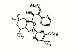 CN/C=C(\C(=N)C(=O)N1CC(F)(F)CC(C)C1CNc1ncc(C(F)(F)F)c(OC)n1)c1ccccn1